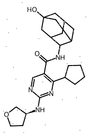 O=C(NC1C2CC3CC1CC(O)(C3)C2)c1cnc(N[C@H]2CCOC2)nc1C1CCCC1